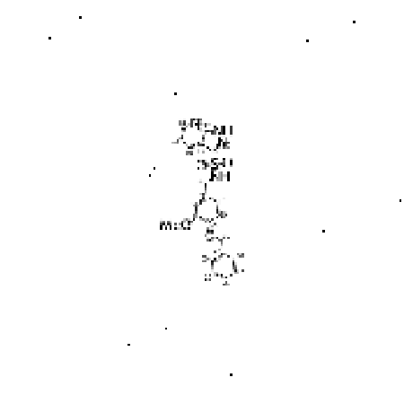 COc1cc(CNS(=O)(=O)c2n[nH]c3ncccc23)ccc1OCc1ccccc1